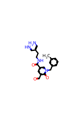 Cc1cccc(Cn2cc(C(=O)NCC/C(C=N)=C/N)cc(C=O)c2=O)c1